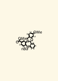 CCCCN1c2ccccc2C(=O)N(Cc2ccc(OC)cc2)c2cc(C(=O)OC)ccc21